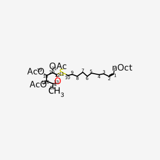 CCCCCCCC/C=C\CCCCCCCCS[C@H]1O[C@@H](C)[C@@H](OC(C)=O)[C@@H](OC(C)=O)[C@@H]1OC(C)=O